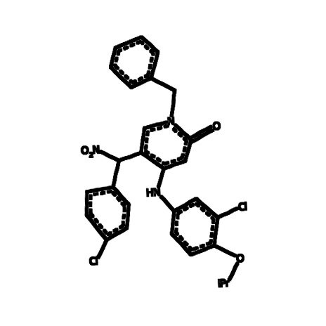 CC(C)Oc1ccc(Nc2cc(=O)n(Cc3ccccc3)cc2C(c2ccc(Cl)cc2)[N+](=O)[O-])cc1Cl